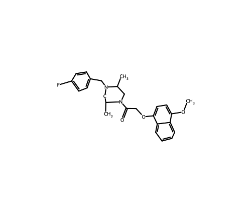 COc1ccc(OCC(=O)N2CC(C)N(Cc3ccc(F)cc3)CC2C)c2ccccc12